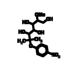 COC(CO)C(O)C(O)C(O)C(C)(C)Oc1ccc([N+](=O)[O-])cc1